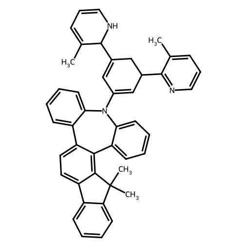 CC1=CC=CNC1C1=CC(N2c3ccccc3-c3ccc4c(c3-c3ccccc32)C(C)(C)c2ccccc2-4)=CC(c2ncccc2C)C1